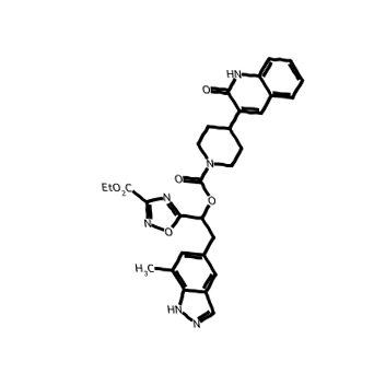 CCOC(=O)c1noc(C(Cc2cc(C)c3[nH]ncc3c2)OC(=O)N2CCC(c3cc4ccccc4[nH]c3=O)CC2)n1